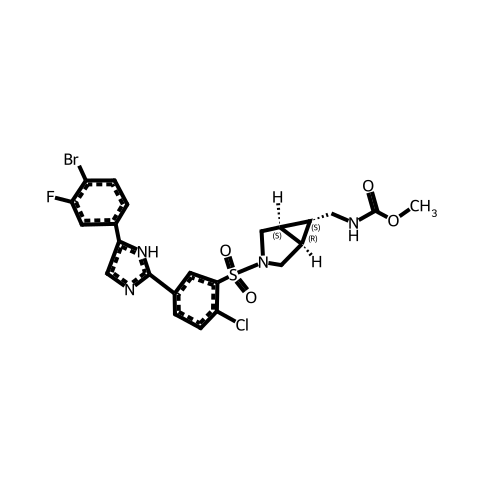 COC(=O)NC[C@@H]1[C@H]2CN(S(=O)(=O)c3cc(-c4ncc(-c5ccc(Br)c(F)c5)[nH]4)ccc3Cl)C[C@@H]12